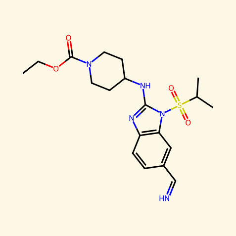 CCOC(=O)N1CCC(Nc2nc3ccc(C=N)cc3n2S(=O)(=O)C(C)C)CC1